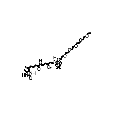 CCOCCOCCOCCOCCOCCOP(=O)(NCCC(CCNC(=O)CCCC1SCC2NC(=O)NC21)OC)OC(C)(C)C